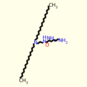 CCCCCCCCCCCCCCCCCCN(CCCCCCCCCCCCCCCCCC)CCCNC(=O)[C@@H](N)CCCCN